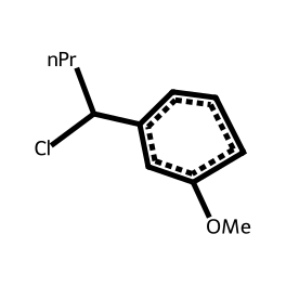 CCCC(Cl)c1cccc(OC)c1